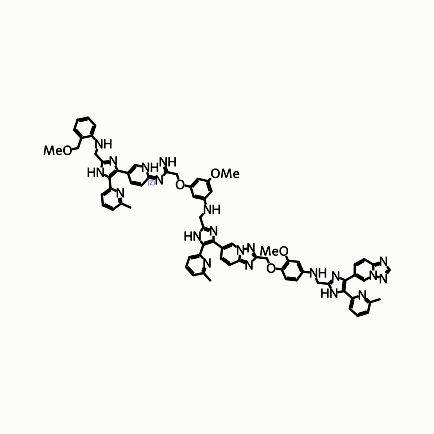 COCc1ccccc1NCc1nc(-c2cc/c(=N/C(=N)COc3cc(NCc4nc(-c5ccc6nc(COc7ccc(NCc8nc(-c9ccc%10ncnn%10c9)c(-c9cccc(C)n9)[nH]8)cc7OC)nn6c5)c(-c5cccc(C)n5)[nH]4)cc(OC)c3)[nH]c2)c(-c2cccc(C)n2)[nH]1